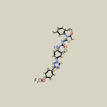 Cc1ccc(C(C)C)c(N2C(=O)CSC2=NC(=O)Nc2ccc(-n3cnc(-c4ccc(OC(F)(F)F)cc4)n3)cc2Cl)c1